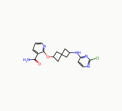 NC(=O)c1cccnc1OC1CC2(CC(Nc3ccnc(Cl)n3)C2)C1